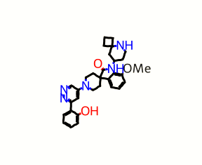 COc1cccc(C2(C(=O)NC3CCNC4(CCC4)C3)CCN(c3cnnc(-c4ccccc4O)c3)CC2)c1